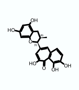 C[C@@H]1Cc2c(O)cc(O)cc2O[C@@H]1c1cc(O)c(=O)c2c(O)c(O)ccc2c1